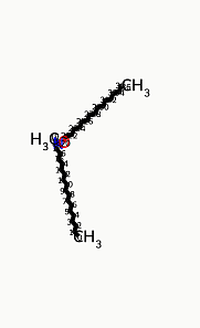 CCCCCCCCCCCCCCCCCCN(C)OCCCCCCCCCCCCCCCC